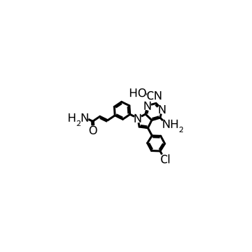 N#CO.NC(=O)/C=C/c1cccc(-n2cc(-c3ccc(Cl)cc3)c3c(N)ncnc32)c1